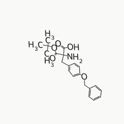 CC(C)(C)OC(=O)C(N)(Cc1ccc(OCc2ccccc2)cc1)C(=O)O